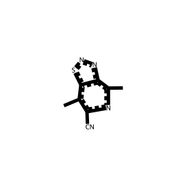 Cc1nc(C#N)c(C)c2snnc12